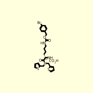 O=C(O)N[C@@H](CCCCNC(=O)OCc1ccc(Br)cc1)C(=O)N(Cc1cccs1)Cc1cccs1